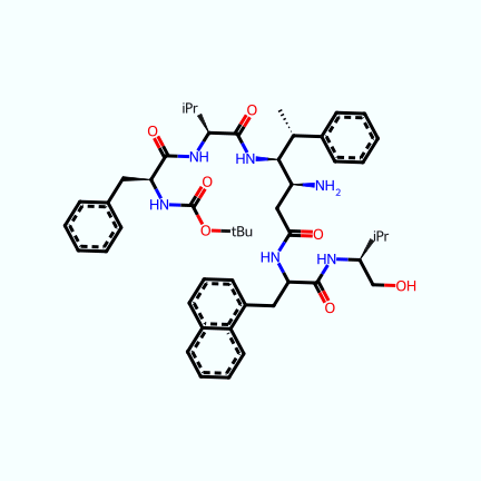 CC(C)[C@H](NC(=O)[C@H](Cc1ccccc1)NC(=O)OC(C)(C)C)C(=O)N[C@@H]([C@H](C)c1ccccc1)[C@@H](N)CC(=O)NC(Cc1cccc2ccccc12)C(=O)N[C@H](CO)C(C)C